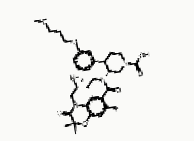 CCN(C(=O)c1cc2c(cc1F)OC(C)(C)C(=O)N2CCN)[C@H]1CN(C(=O)O)CC[C@@H]1c1cccc(OCCCOC)c1